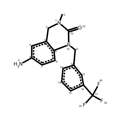 CN1Cc2cc(N)ccc2N(Cc2cccc(C(F)(F)F)c2)C1=O